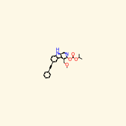 COCc1c(OC(=O)OC(C)C)ncc2[nH]c3ccc(C#Cc4ccccc4)cc3c12